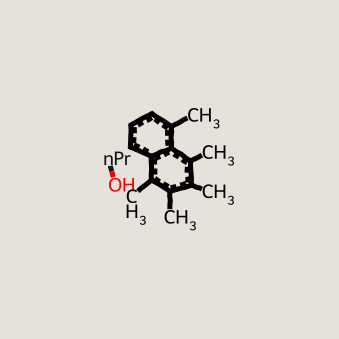 CCCO.Cc1c(C)c(C)c2c(C)cccc2c1C